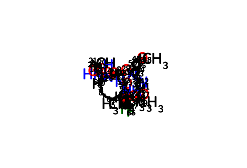 CC[C@@H]1C[C@@H](C)CC/C=C\[C@@H]2C[C@@]2(C(=O)NS(=O)(=O)C2(C)CC2)NC(=O)[C@@H]2C[C@@H](Oc3nc(-c4ccc(OC(C)C)cn4)cc4cc(OC)ccc34)CN2C(=O)[C@H]1NC(=O)OC(C)(C)C(F)(F)F